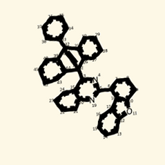 C1=CC2(c3nc(-c4cccc5oc6ccccc6c45)nc4ccccc34)c3ccccc3C1(c1ccccc1)c1ccccc12